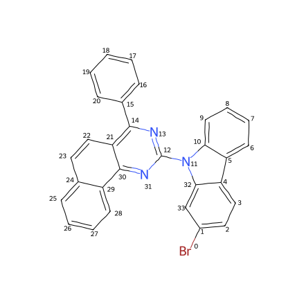 Brc1ccc2c3ccccc3n(-c3nc(-c4ccccc4)c4ccc5ccccc5c4n3)c2c1